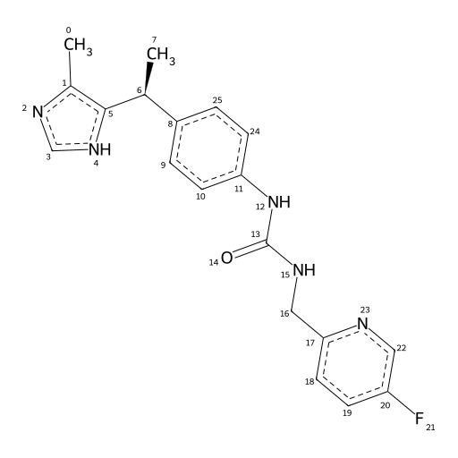 Cc1nc[nH]c1[C@@H](C)c1ccc(NC(=O)NCc2ccc(F)cn2)cc1